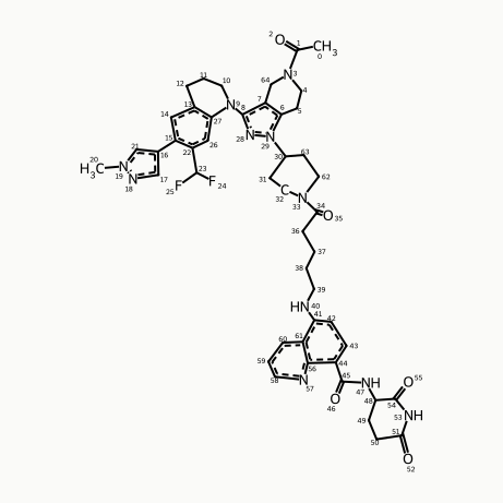 CC(=O)N1CCc2c(c(N3CCCc4cc(-c5cnn(C)c5)c(C(F)F)cc43)nn2C2CCN(C(=O)CCCCNc3ccc(C(=O)NC4CCC(=O)NC4=O)c4ncccc34)CC2)C1